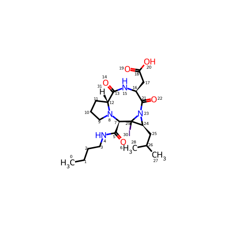 CCCCNC(=O)[C@H]1N2CCC[C@@H]2C(=O)N[C@@H](CC(=O)O)C(=O)N2[C@@H](CC(C)C)C12I